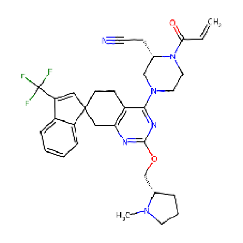 C=CC(=O)N1CCN(c2nc(OC[C@@H]3CCCN3C)nc3c2CCC2(C=C(C(F)(F)F)c4ccccc42)C3)C[C@@H]1CC#N